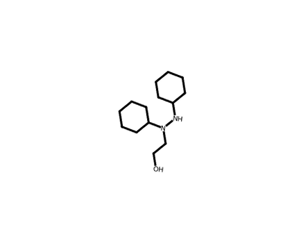 OCCN(NC1CCCCC1)C1CCCCC1